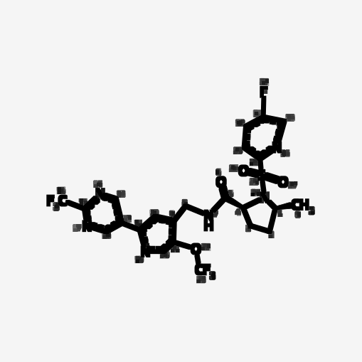 C[C@H]1CC[C@@H](C(=O)NCc2cc(-c3cnc(C(F)(F)F)nc3)ncc2OC(F)(F)F)N1S(=O)(=O)c1ccc(F)cn1